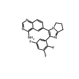 Nc1ncnc2ccc(-c3c(-c4cc(F)cc(F)c4F)nc4n3CCC4)cc12